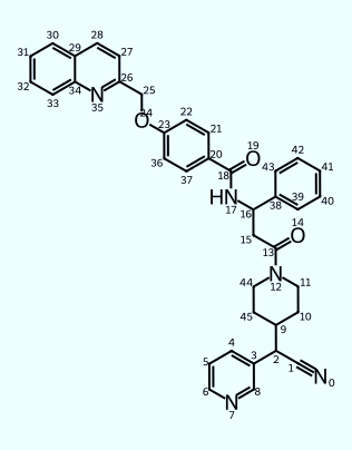 N#CC(c1cccnc1)C1CCN(C(=O)CC(NC(=O)c2ccc(OCc3ccc4ccccc4n3)cc2)c2ccccc2)CC1